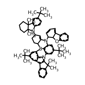 CC(C)(C)c1cc2c3c(c1)-n1c4c(c5cc(C(C)(C)C)cc(c51)B3C1CCC(N3c5ccc(C(C)(C)C)cc5C5(C)CCCCC35C)C=C1N2C1C=CC=C2c3ccccc3OC21)-c1ccccc1C4(C)C